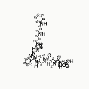 N[C@@H](CCC(=O)N1CCC(Nc2nc(NCc3cn(CCCNCCCNC4CCCCC4)nn3)nc3ccccc23)CC1)C(=O)NCP(=O)(O)O